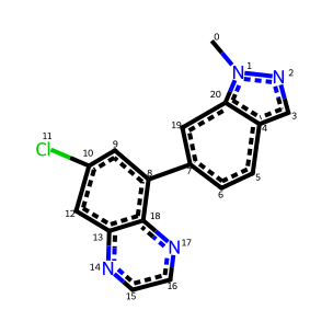 Cn1ncc2ccc(-c3cc(Cl)cc4nccnc34)cc21